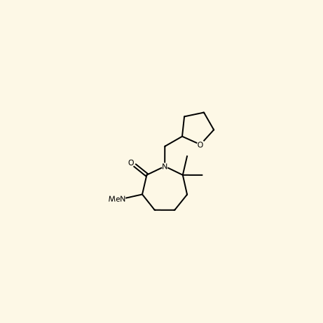 CNC1CCCC(C)(C)N(CC2CCCO2)C1=O